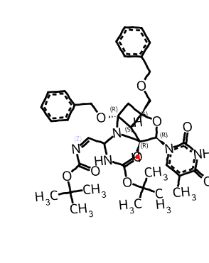 Cc1cn([C@@H]2O[C@@]3(COCc4ccccc4)C[C@@]4(OCc5ccccc5)[C@H]3[C@H]2N4C(/C=N\C(=O)OC(C)(C)C)NC(=O)OC(C)(C)C)c(=O)[nH]c1=O